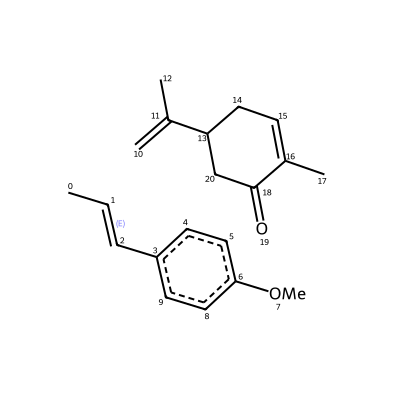 C/C=C/c1ccc(OC)cc1.C=C(C)C1CC=C(C)C(=O)C1